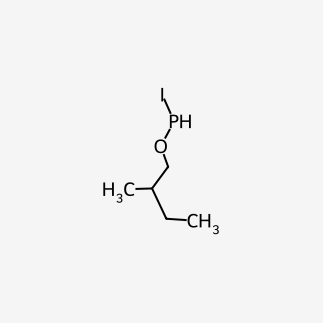 CCC(C)COPI